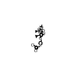 CC(C)(C)[Si](C)(C)N(C(=O)c1cc(C2CC2)c(OCC2CCN(Cc3cc(Cl)cc(Cl)c3)CC2)cc1F)S(=N)(=O)C1CC1